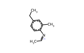 C/C=N\c1ccc(CC)cc1C